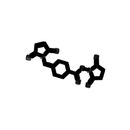 O=C(ON1C(=O)CCC1=O)C1CCC(=CN2C(=O)C=CC2=O)CC1